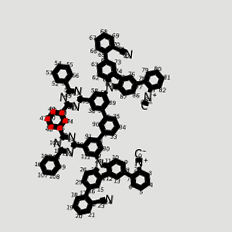 [C-]#[N+]c1ccccc1-c1ccc2c(c1)c1cc(-c3ccccc3C#N)ccc1n2-c1cc(-c2cccc(-c3cc(-c4nc(-c5ccccc5)nc(-c5ccccc5)n4)cc(-n4c5ccc(-c6ccccc6C#N)cc5c5cc(-c6ccccc6[N+]#[C-])ccc54)c3)c2)cc(-c2nc(-c3ccccc3)nc(-c3ccccc3)n2)c1